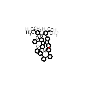 CC(C)(C)c1ccc(N(c2ccc(C(C)(C)C)cc2)c2cc3c(c4c2oc2ccccc24)-c2c(cc(-n4c5ccccc5c5ccccc5c5ccccc5c5ccccc54)c4c2oc2ccccc24)C32c3ccccc3-c3ccccc32)cc1